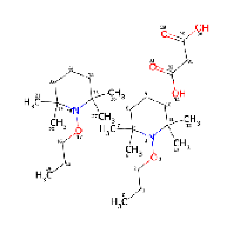 CCCON1C(C)(C)CCCC1(C)C.CCCON1C(C)(C)CCCC1(C)C.O=C(O)CC(=O)O